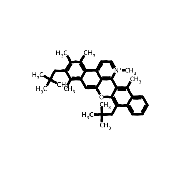 Cc1c(CC(C)(C)C)c(C)c2cc3c4c([n+](C)ccc4c2c1C)-c1c(c(CC(C)(C)C)c2ccccc2c1C)O3